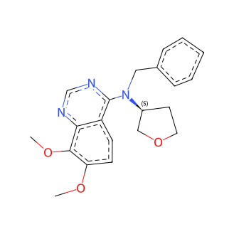 COc1ccc2c(N(Cc3ccccc3)[C@H]3CCOC3)ncnc2c1OC